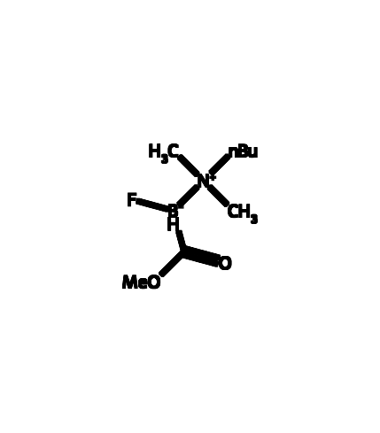 CCCC[N+](C)(C)[BH-](F)C(=O)OC